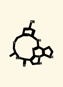 CC1COCc2cc(C#N)cc(c2)NC2=NC3=C(CNN3C3=C2CCN3)C(=O)N1